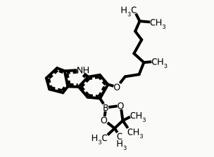 CC(C)CCCC(C)CCOc1cc2[nH]c3ccccc3c2cc1B1OC(C)(C)C(C)(C)O1